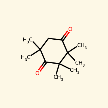 CC1(C)CC(=O)C(C)(C)C(C)(C)C1=O